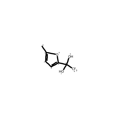 Cc1ccc(C(O)(O)C(F)(F)F)o1